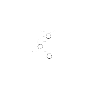 COc1cc2c(cc1OCc1ccccc1)[C@@H]1Cc3ccc(OC)c(OC)c3CN1CC2